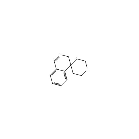 C1=NCC2(CCNCC2)c2ccccc21